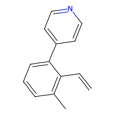 C=Cc1c(C)cccc1-c1ccncc1